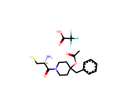 CC(=O)OC1(Cc2ccccc2)CCN(C(=O)[C@@H](N)CS)CC1.O=C(O)C(F)(F)F